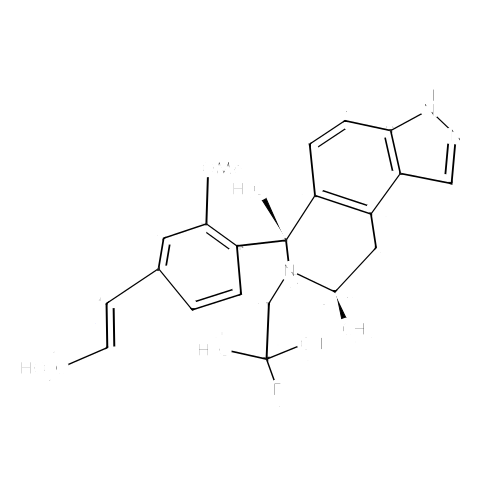 COc1cc(/C=C/C(=O)O)ccc1[C@]1(C)c2ccc3[nH]ncc3c2C[C@@H](C)N1CC(C)(C)F